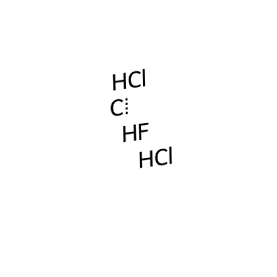 Cl.Cl.F.[C]